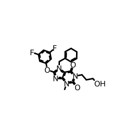 Cn1c(=O)n(CCCO)c(=O)c2c1nc(Oc1cc(F)cc(F)c1)n2CC1=CCCC=C1